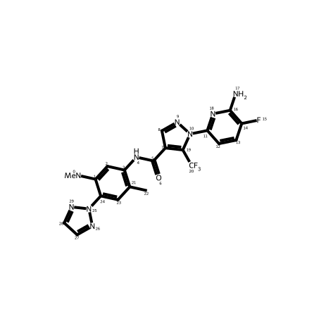 CNc1cc(NC(=O)c2cnn(-c3ccc(F)c(N)n3)c2C(F)(F)F)c(C)cc1-n1nccn1